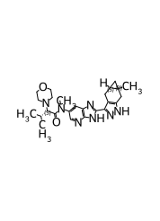 CC(C)[C@@H](C(=O)N(C)c1cnc2[nH]c(-c3n[nH]c4c3C[C@@H]3C[C@]3(C)C4)nc2c1)N1CCOCC1